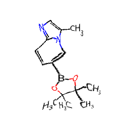 Cc1cnc2ccc(B3OC(C)(C)C(C)(C)O3)cn12